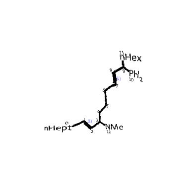 CCCCCCC/C=C/C(CCC/C=C/C(P)CCCCCC)NC